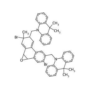 CC1(C)c2ccccc2N(Cc2cc3c(cc2Br)C2OC2C2=CC(C)(Br)C(CN4c5ccccc5C(C)(C)c5ccccc54)C=C23)c2ccccc21